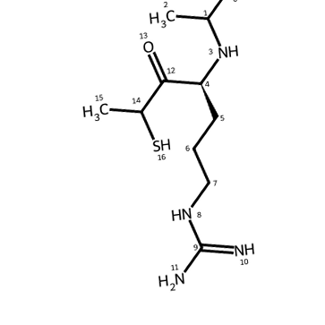 CC(C)N[C@@H](CCCNC(=N)N)C(=O)C(C)S